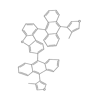 Cc1cocc1-c1c2ccccc2c(-c2ccc3c(c2)oc2cccc(-c4c5ccccc5c(-c5cocc5C)c5ccccc45)c23)c2ccccc12